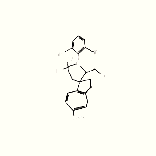 COc1ccc2c(c1)CCC21CC(C)(C)N(c2c(C(C)C)cccc2C(C)C)C1CCl